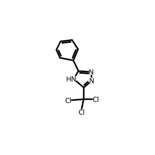 ClC(Cl)(Cl)c1nnc(-c2ccccc2)[nH]1